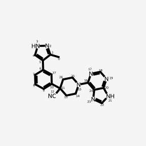 Cc1n[nH]cc1-c1cccc(C2(C#N)CCN(c3ncnc4[nH]cnc34)CC2)c1